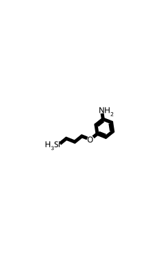 Nc1cccc(OCCC[SiH3])c1